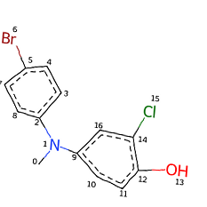 CN(c1ccc(Br)cc1)c1ccc(O)c(Cl)c1